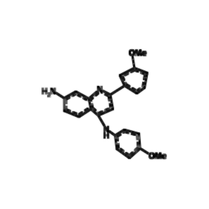 COc1ccc(Nc2cc(-c3cccc(OC)c3)nc3cc(N)ccc23)cc1